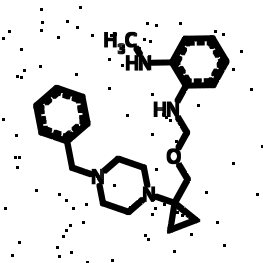 CNc1ccccc1NCOCC1(N2CCN(Cc3ccccc3)CC2)CC1